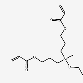 C=CC(=O)OCCC[Si](C)(CCCOC(=O)C=C)OCC